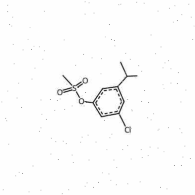 CC(C)c1cc(Cl)cc(OS(C)(=O)=O)c1